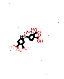 O=C(O)c1ccc([SiH](O[SiH3])c2ccc(C(=O)O)c(C(=O)O)c2)cc1C(=O)O